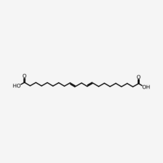 O=C(O)CCCCCCCC=CCC=CCCCCCCCC(=O)O